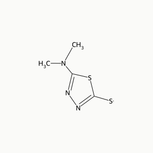 CN(C)c1nnc([S])s1